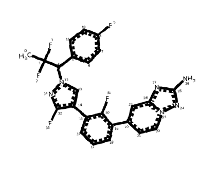 CC(F)(F)C(c1ccc(F)cc1)n1cc(-c2cccc(-c3ccn4nc(N)nc4c3)c2F)c(F)n1